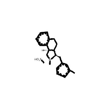 CS(=O)(=O)O.Cc1cccc(C[C@@H]2C3CCc4ccccc4[C@@H]3CN2C)c1